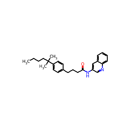 CCCCC(C)(C)c1ccc(CCCC(=O)Nc2cnc3ccccc3c2)cc1